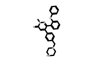 Cn1nc(-c2ccccc2Oc2ccccc2)c(-c2ccc(CN3CCNCC3)cc2)cc1=O